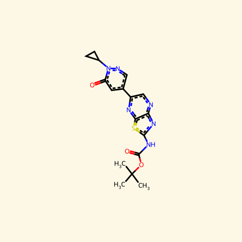 CC(C)(C)OC(=O)Nc1nc2ncc(-c3cnn(C4CC4)c(=O)c3)nc2s1